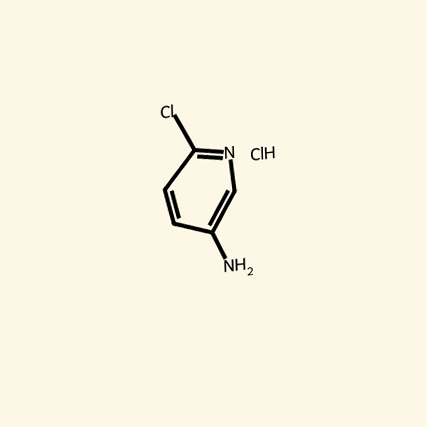 Cl.Nc1ccc(Cl)nc1